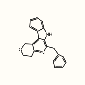 c1ccc(Cc2nc3c(c4c2[nH]c2ccccc24)COCC3)cc1